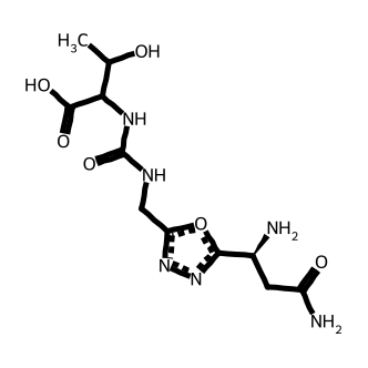 CC(O)C(NC(=O)NCc1nnc([C@@H](N)CC(N)=O)o1)C(=O)O